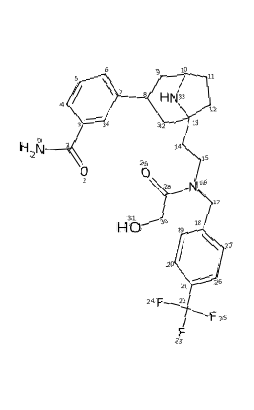 NC(=O)c1cccc(C2CC3CCC(CCN(Cc4ccc(C(F)(F)F)cc4)C(=O)CO)(C2)N3)c1